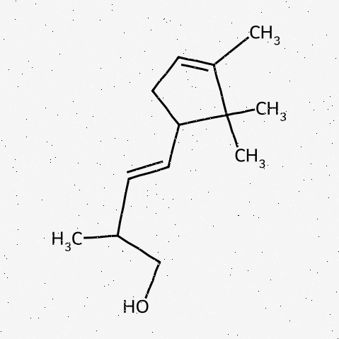 CC1=CCC(/C=C/C(C)CO)C1(C)C